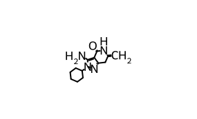 C=C1Cc2nn(C3CCCCC3)c(N)c2C(=O)N1